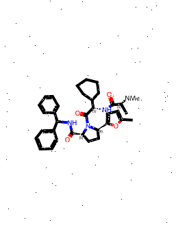 CN[C@@H](C)C(=O)N[C@H](C(=O)N1[C@@H](c2ccc(C)o2)CC[C@H]1C(=O)NC(c1ccccc1)c1ccccc1)C1CCCCC1